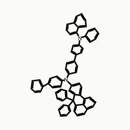 c1ccc(-c2ccc(N(c3ccc(-c4ccc(N(c5ccccc5)c5cccc6ccccc56)cc4)cc3)c3ccc4c(c3)C(c3ccccc3)(c3ccccc3)c3cccc5cccc-4c35)cc2)cc1